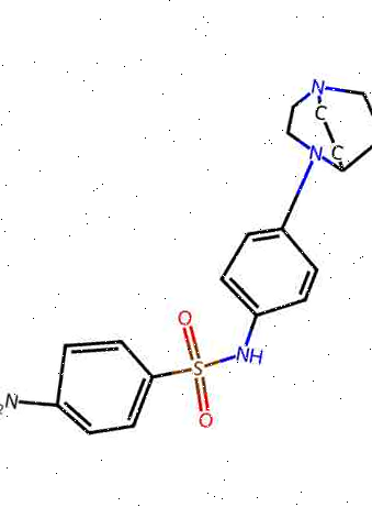 O=[N+]([O-])c1ccc(S(=O)(=O)Nc2ccc(N3CCN4CCC3CC4)cc2)cc1